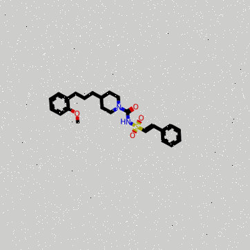 COc1ccccc1CCCC1CCN(C(=O)NS(=O)(=O)C=Cc2ccccc2)CC1